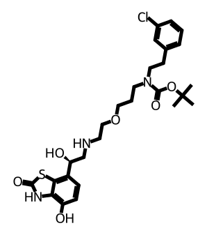 CC(C)(C)OC(=O)N(CCCOCCNC[C@H](O)c1ccc(O)c2[nH]c(=O)sc12)CCc1cccc(Cl)c1